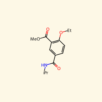 CCOc1ccc(C(=O)NC(C)C)cc1C(=O)OC